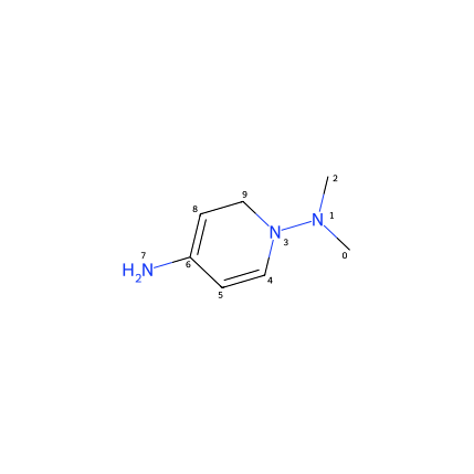 CN(C)N1C=CC(N)=CC1